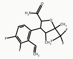 C=Cc1c(C2C(C(N)=O)OC(C)(C(F)(F)F)C2C)ccc(F)c1F